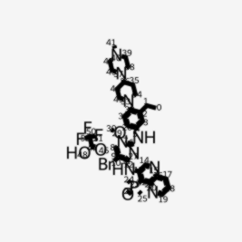 CCc1cc(Nc2ncc(Br)c(Nc3cnc4cccnc4c3P(C)(C)=O)n2)c(OC)cc1N1CCC(N2CCN(C)CC2)CC1.O=C(O)C(F)(F)F